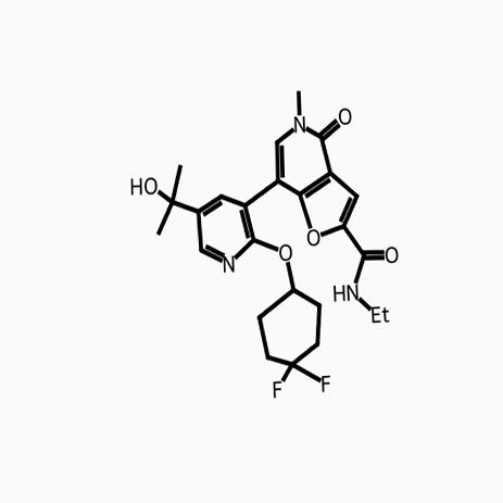 CCNC(=O)c1cc2c(=O)n(C)cc(-c3cc(C(C)(C)O)cnc3OC3CCC(F)(F)CC3)c2o1